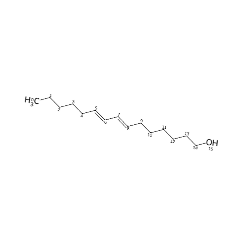 CCCCCC=CC=CCCCCCCO